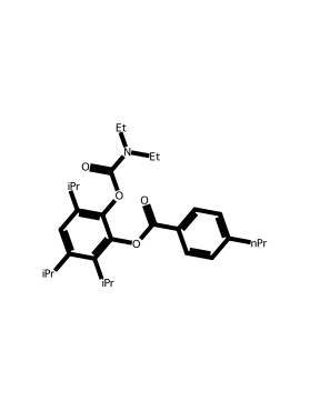 CCCc1ccc(C(=O)Oc2c(OC(=O)N(CC)CC)c(C(C)C)cc(C(C)C)c2C(C)C)cc1